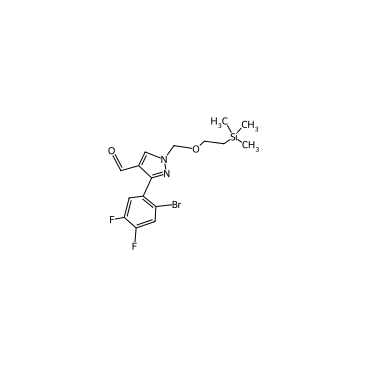 C[Si](C)(C)CCOCn1cc(C=O)c(-c2cc(F)c(F)cc2Br)n1